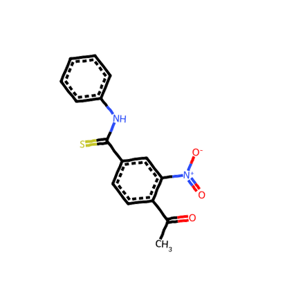 CC(=O)c1ccc(C(=S)Nc2ccccc2)cc1[N+](=O)[O-]